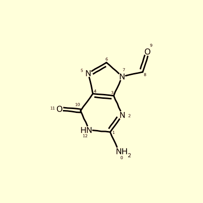 Nc1nc2c(ncn2C=O)c(=O)[nH]1